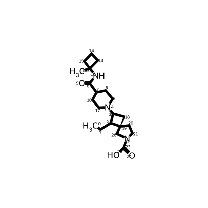 CCC1C(N2CCC(C(=O)NC3(C)CCC3)CC2)C[C@]12CCN(C(=O)O)C2